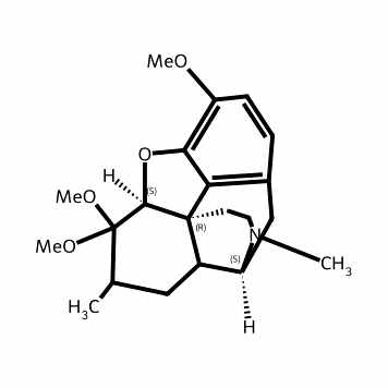 COc1ccc2c3c1O[C@@H]1C(OC)(OC)C(C)CC4[C@H](C2)N(C)CC[C@]341